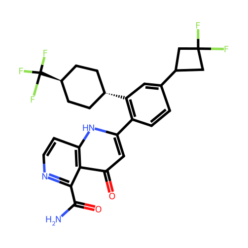 NC(=O)c1nccc2[nH]c(-c3ccc(C4CC(F)(F)C4)cc3[C@H]3CC[C@H](C(F)(F)F)CC3)cc(=O)c12